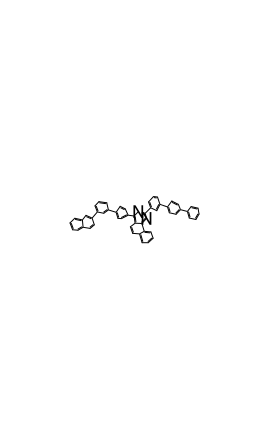 c1ccc(-c2ccc(-c3cccc(-c4nc(-c5ccc(-c6cccc(-c7ccc8ccccc8c7)c6)cc5)c5ccc6ccccc6c5n4)c3)cc2)cc1